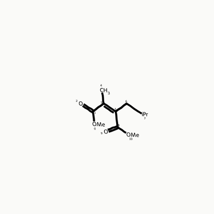 COC(=O)C(C)=C(CC(C)C)C(=O)OC